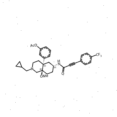 CO[C@]12CC[C@@H](NC(=O)C#Cc3ccc(C(F)(F)F)cc3)C[C@]1(c1cccc(OC(C)=O)c1)CCN(CC1CC1)C2